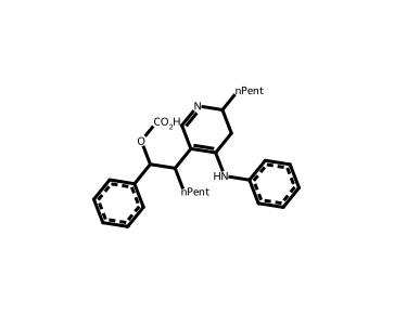 CCCCCC1CC(Nc2ccccc2)=C(C(CCCCC)C(OC(=O)O)c2ccccc2)C=N1